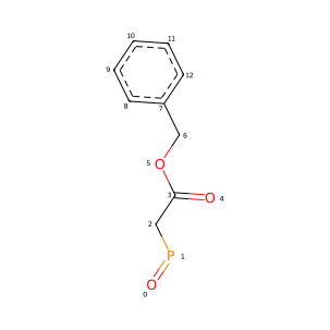 O=PCC(=O)OCc1ccccc1